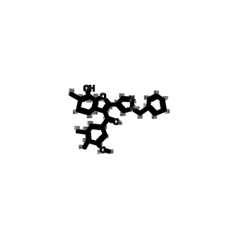 COc1cc(C(=O)c2c(-c3cnn(Cc4ccccc4)c3)oc3c(O)c(C)ccc23)cc(C)c1C